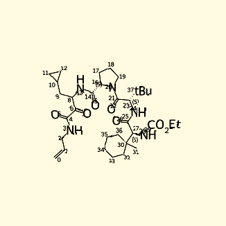 C=CCNC(=O)C(=O)C(CC1CC1)NC(=O)[C@@H]1CCCN1C(=O)[C@@H](NC(=O)[C@@H](NC(=O)OCC)C1(C)CCCCC1)C(C)(C)C